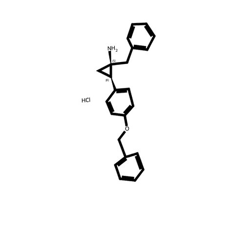 Cl.N[C@]1(Cc2ccccc2)C[C@@H]1c1ccc(OCc2ccccc2)cc1